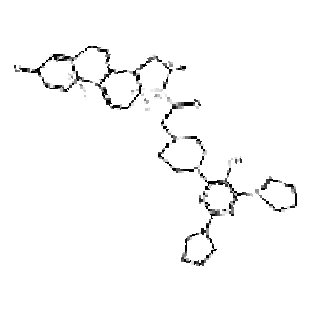 C[C@@H]1CC2C3CCC4=CC(=O)C=C[C@]4(C)C3=CC[C@]2(C)[C@H]1C(=O)CN1CCN(c2nc(N3CCCC3)nc(N3CCCC3)c2O)CC1